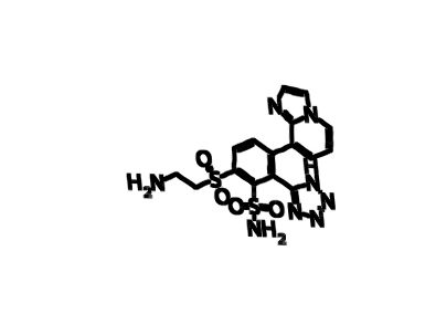 NCCS(=O)(=O)c1ccc(-c2cccn3ccnc23)c(-c2nnn[nH]2)c1S(N)(=O)=O